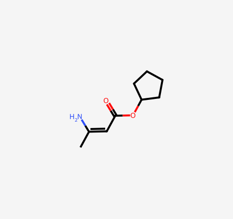 CC(N)=CC(=O)OC1CCCC1